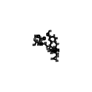 COc1ccc2c(c1)C1(CCN[C@H](C(=O)O)C(C)C)CCN(CC3CC3)[C@@H](C2)[C@H]1C